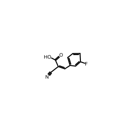 N#CC(=Cc1cccc(F)c1)C(=O)O